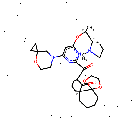 C[C@H](Oc1cc(N2CCOC3(CC3)C2)nc(C(=O)C2CCC[C@@]3(CCCCC34OCCO4)C2=O)n1)[C@@H]1CCCN1C